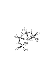 O=P(O)(O)OP(=O)(O)OP(=O)(O)OS(=O)(=O)O